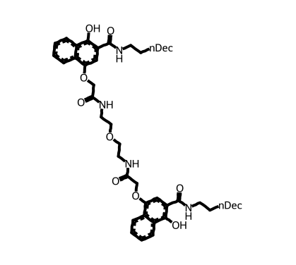 CCCCCCCCCCCCNC(=O)c1cc(OCC(=O)NCCOCCNC(=O)COc2cc(C(=O)NCCCCCCCCCCCC)c(O)c3ccccc23)c2ccccc2c1O